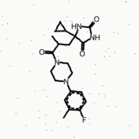 Cc1cc(N2CCN(C(=O)C(C)CC3(C4CC4)NC(=O)NC3=O)CC2)ccc1F